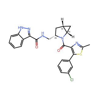 Cc1nc(C(=O)N2[C@H](CNC(=O)c3n[nH]c4ccccc34)C[C@@H]3C[C@@H]32)c(-c2cccc(Cl)c2)s1